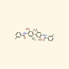 Cc1cccc(C(=O)Nc2cc(C(F)(F)F)c(-c3cc(O)c(NC(=O)c4cccc(C)c4)cc3C(F)(F)F)cc2O)c1